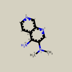 CN(C)c1cnc2cnccc2c1N